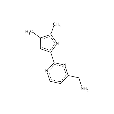 Cc1cc(-c2nccc(CN)n2)nn1C